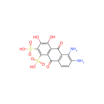 Nc1ccc2c(c1N)C(=O)c1c(O)c(O)c(S(=O)(=O)O)c(S(=O)(=O)O)c1C2=O